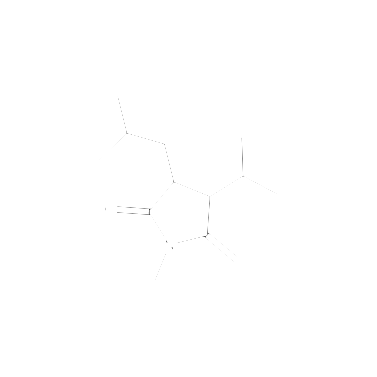 C=C1C(C(C)C)C(CC(C)C)C(=O)N1C